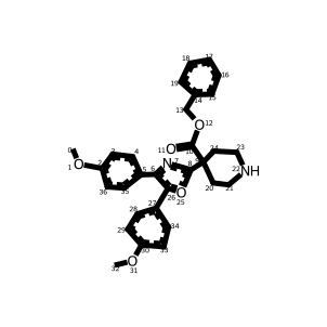 COc1ccc(-c2nc(C3(C(=O)OCc4ccccc4)CCNCC3)oc2-c2ccc(OC)cc2)cc1